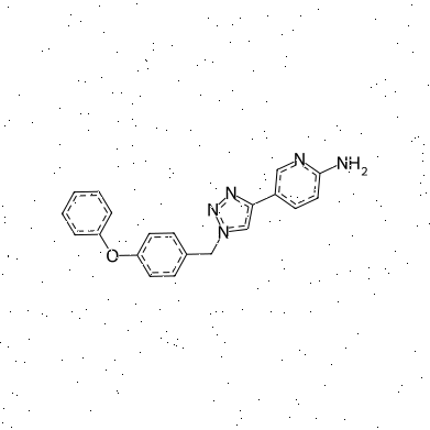 Nc1ccc(-c2cn(Cc3ccc(Oc4ccccc4)cc3)nn2)cn1